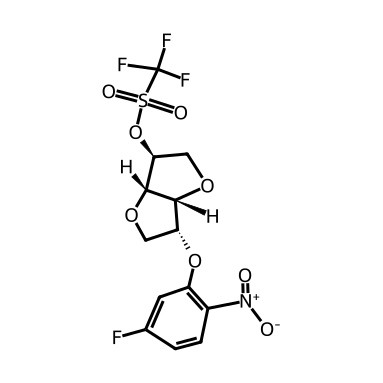 O=[N+]([O-])c1ccc(F)cc1O[C@@H]1CO[C@H]2[C@@H]1OC[C@@H]2OS(=O)(=O)C(F)(F)F